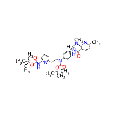 Cc1ccc(C(=O)Nc2ccc(N(CCc3cccc(NC(=O)OC(C)(C)C)n3)C(=O)OC(C)(C)C)cc2)c(N(C)C)n1